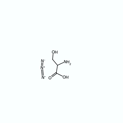 NC(CO)C(=O)O.[N-]=[N+]=[N-]